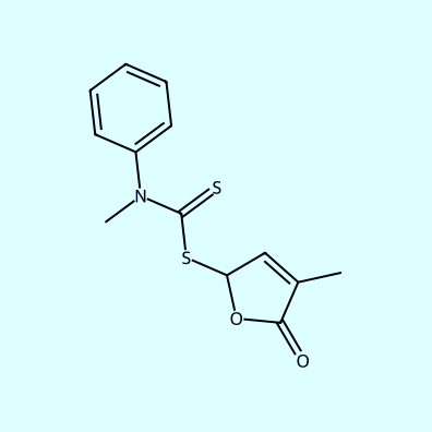 CC1=CC(SC(=S)N(C)c2ccccc2)OC1=O